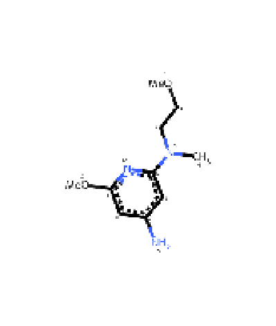 COCCN(C)c1cc(N)cc(OC)n1